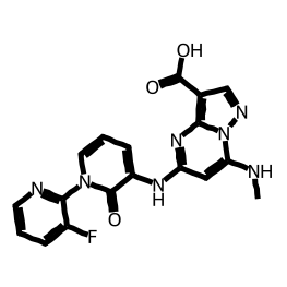 CNc1cc(Nc2cccn(-c3ncccc3F)c2=O)nc2c(C(=O)O)cnn12